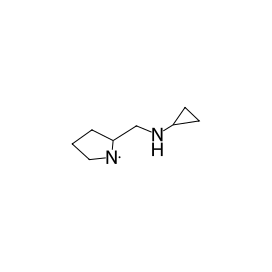 C1C[N]C(CNC2CC2)C1